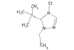 CCN1N=CN(Cl)C1C(C)(C)C